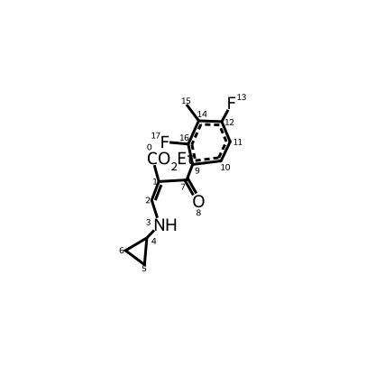 CCOC(=O)/C(=C/NC1CC1)C(=O)c1ccc(F)c(C)c1F